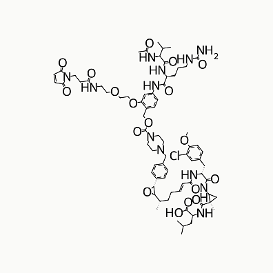 COc1ccc(C[C@@H](NC(=O)/C=C/CC[C@H](C)[C@H]2O[C@@H]2c2ccc(CN3CCN(C(=O)OCc4ccc(NC(=O)[C@H](CCCNC(N)=O)NC(=O)[C@@H](NC(C)=O)C(C)C)cc4OCCOCCNC(=O)CCN4C(=O)C=CC4=O)CC3)cc2)C(=O)NC2C[C@@]2(C)C(=O)N[C@@H](CC(C)C)C(=O)O)cc1Cl